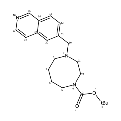 CC(C)(C)OC(=O)N1CCCCN(Cc2ccc3cnccc3c2)CC1